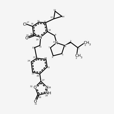 CC(C)C[C@H]1CCCN1Cc1c(C2CC2)cc(Cl)c(=O)n1CCc1ccc(-c2n[nH]c(=O)o2)cc1